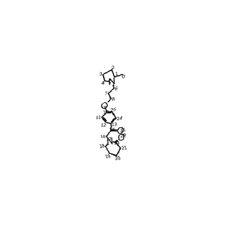 CC1CCCN1CCCOc1ccc(C(=O)CN2CCCCC2=O)cc1